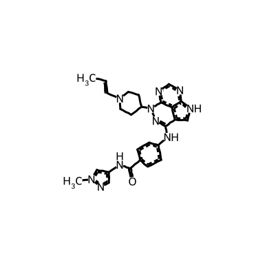 CC=CN1CCC(N2N=C(Nc3ccc(C(=O)Nc4cnn(C)c4)cc3)c3c[nH]c4ncnc2c34)CC1